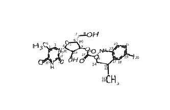 Cc1cn([C@@H]2O[C@H](CO)C(OC(=O)OCC(C)c3cc(I)ccc3[N+](=O)[O-])C2O)c(=O)[nH]c1=O